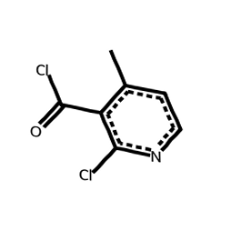 Cc1ccnc(Cl)c1C(=O)Cl